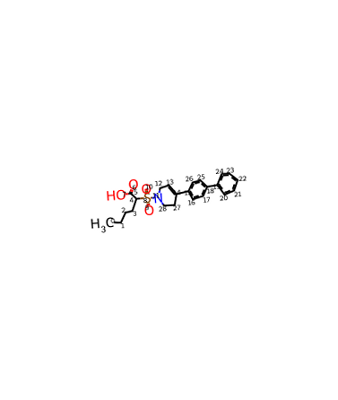 CCCCC(C(=O)O)S(=O)(=O)N1CC=C(c2ccc(-c3ccccc3)cc2)CC1